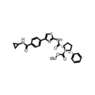 CC(C)(C)OC(=O)N1[C@@H](c2ccccc2)CC[C@H]1C(=O)Nc1nc(-c2ccc(C(=O)NC3CC3)cc2)cs1